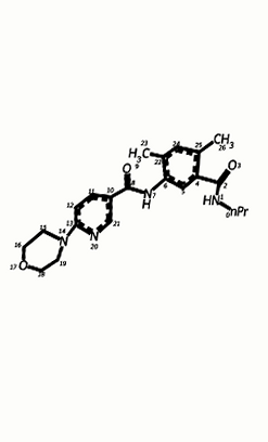 CCCNC(=O)c1cc(NC(=O)c2ccc(N3CCOCC3)nc2)c(C)cc1C